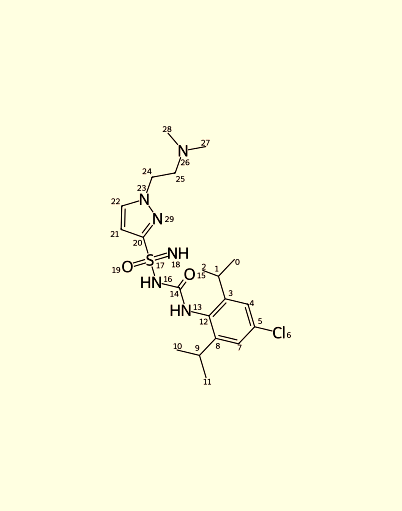 CC(C)c1cc(Cl)cc(C(C)C)c1NC(=O)NS(=N)(=O)c1ccn(CCN(C)C)n1